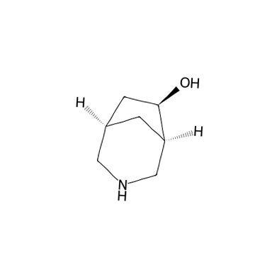 O[C@@H]1C[C@@H]2CNC[C@H]1C2